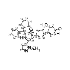 Cc1cc(=O)[nH]cc1-c1ccc(NC(=O)C(NC(=O)c2ccnn2C)C(c2ccccc2)c2ccccc2)cc1